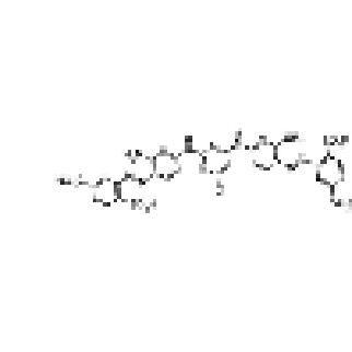 Nc1nc(Nc2nc(Cl)nc(Nc3ccc(/N=N/c4cc(S(=O)(=O)O)ccc4S(=O)(=O)O)c(N)n3)n2)ccc1/N=N/c1cc(S(=O)(=O)O)ccc1S(=O)(=O)O